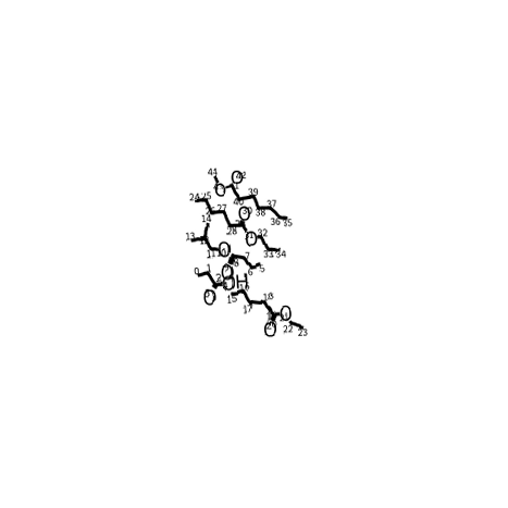 CCC(=O)O.CCCC(=O)OCC(C)C.CCCCC(=O)OCC.CCCCCC(=O)OCCC.CCCCCCC(=O)OC